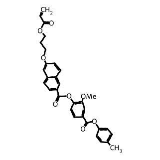 C=CC(=O)OCCCOc1ccc2cc(C(=O)Oc3ccc(C(=O)Oc4ccc(C)cc4)cc3OC)ccc2c1